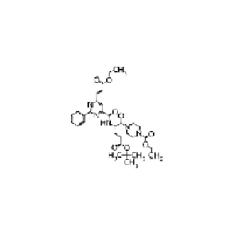 CCOC(=O)C=Cc1cc(C(=O)NC(CCC(=O)OC(C)(C)C)C(=O)N2CCN(C(=O)OCC)CC2)nc(-c2ccccc2)n1